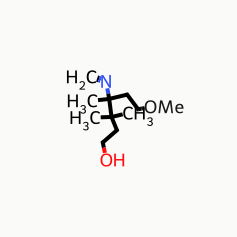 C=NC(C)(CCOC)C(C)(C)CCO